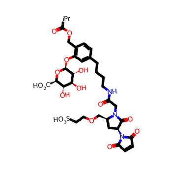 CC(C)C(=O)OCc1ccc(CCCCNC(=O)CN2C(=O)[C@@H](N3C(=O)C=CC3=O)C[C@H]2COCCS(=O)(=O)O)cc1O[C@@H]1O[C@H](C(=O)O)[C@@H](O)[C@H](O)[C@H]1O